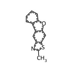 Cc1nc2cc3c(cc2s1)oc1ccccc13